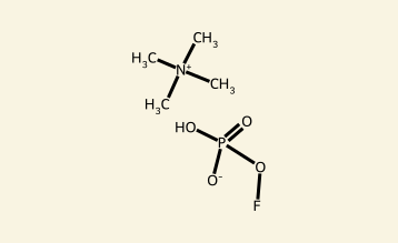 C[N+](C)(C)C.O=P([O-])(O)OF